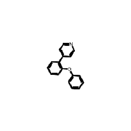 [c]1cccc(-c2ccncc2)c1Oc1ccccc1